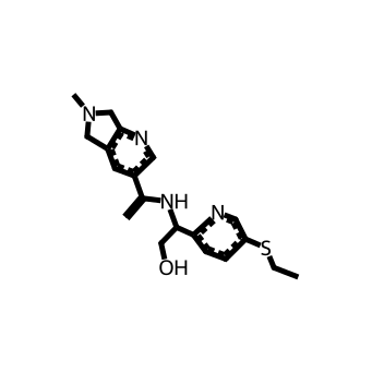 C=C(NC(CO)c1ccc(SCC)cn1)c1cnc2c(c1)CN(C)C2